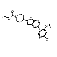 Cc1cc(Cl)ncc1-c1ccc2c(c1)CC(C1CCN(C(=O)OC(C)C)CC1)O2